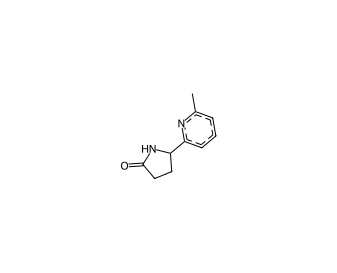 Cc1cccc(C2CCC(=O)N2)n1